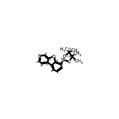 CC1(C)OB(c2cccc3c2oc2cnccc23)OC1(C)C